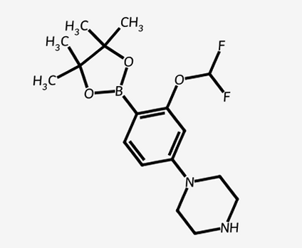 CC1(C)OB(c2ccc(N3CCNCC3)cc2OC(F)F)OC1(C)C